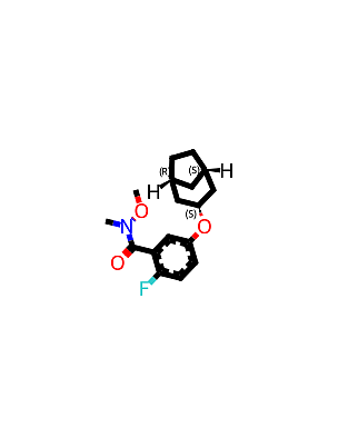 CON(C)C(=O)c1cc(O[C@@H]2C[C@@H]3CC[C@@H](C3)C2)ccc1F